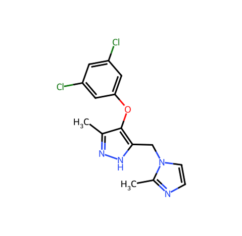 Cc1n[nH]c(Cn2ccnc2C)c1Oc1cc(Cl)cc(Cl)c1